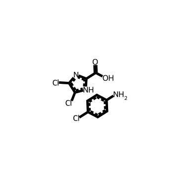 Nc1ccc(Cl)cc1.O=C(O)c1nc(Cl)c(Cl)[nH]1